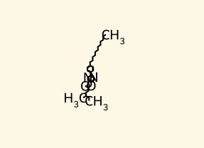 CCCCCCCCCCCCc1ccc(-c2ncc(OC(=O)CCC(C)CC)cn2)cc1